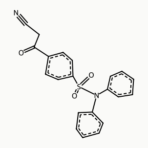 N#CCC(=O)c1ccc(S(=O)(=O)N(c2ccccc2)c2ccccc2)cc1